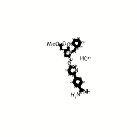 COC(=O)C[C@@H]1C[C@@H](COc2ccc(-c3ccc(C(=N)N)cc3)nn2)N(Cc2ccccc2)C1=O.Cl